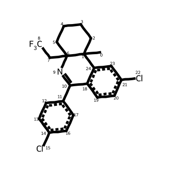 CC12CCCCC1(CC(F)(F)F)N=C(c1ccc(Cl)cc1)c1ccc(Cl)cc12